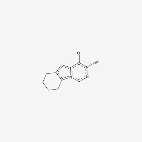 CC(C)n1ncn2c3c(cc2c1=O)CCCC3